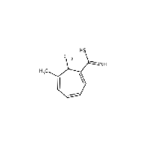 CC1=CC=CC=C(C(=N)S)C1C